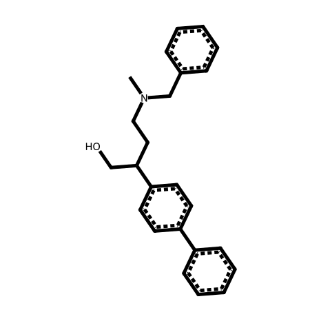 CN(CCC(CO)c1ccc(-c2ccccc2)cc1)Cc1ccccc1